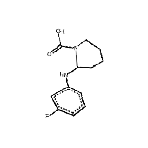 O=C(O)N1CCCCC1Nc1cccc(F)c1